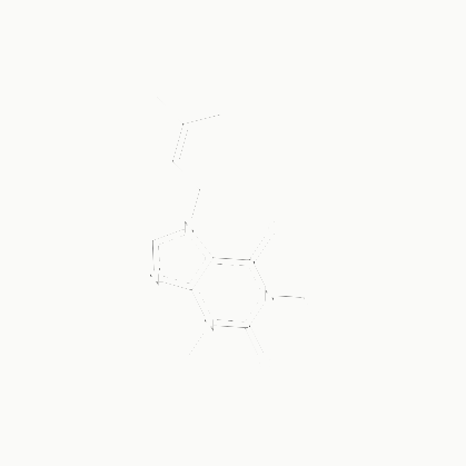 CC(C)=CCn1cnc2c1c(=O)n(Cl)c(=O)n2C